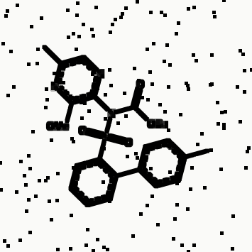 COc1nc(C)cnc1N(C(=O)OCC(C)C)S(=O)(=O)c1ccccc1-c1ccc(C)cc1